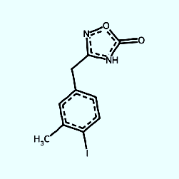 Cc1cc(Cc2noc(=O)[nH]2)ccc1I